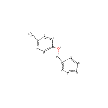 Cc1[c]cc(OCc2ccccc2)cc1